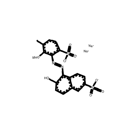 COc1c(C)ccc(S(=O)(=O)[O-])c1N=Nc1c(O)ccc2cc(S(=O)(=O)[O-])ccc12.[Na+].[Na+]